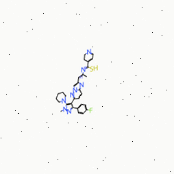 CC(=C\c1cn2nc(-c3c(-c4ccc(F)cc4)nn(C)c3N3CCCCC3)ccc2n1)/N=C(\S)C1=CC=NCC1